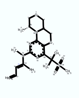 C[C@@H]1COCC2COc3c(nc(N(C)/C(N)=C/C=N)nc3C(C)(C)S(C)(=O)=O)N21